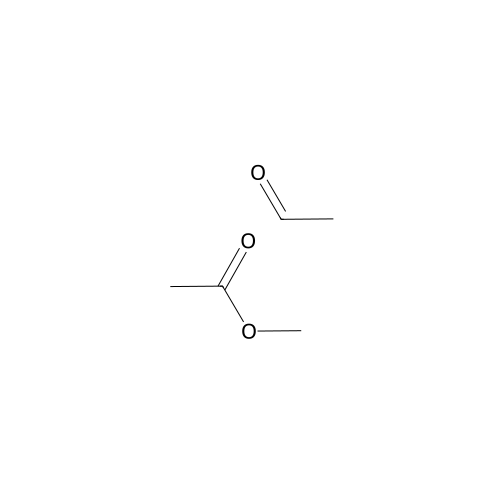 CC=O.COC(C)=O